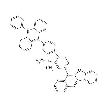 CC1(C)c2cc(-c3c4ccccc4c(-c4ccccc4)c4ccccc34)ccc2-c2ccc(-c3c4ccccc4cc4c3oc3ccccc34)cc21